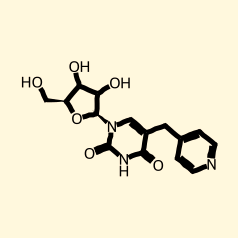 O=c1[nH]c(=O)n([C@H]2O[C@@H](CO)C(O)C2O)cc1Cc1ccncc1